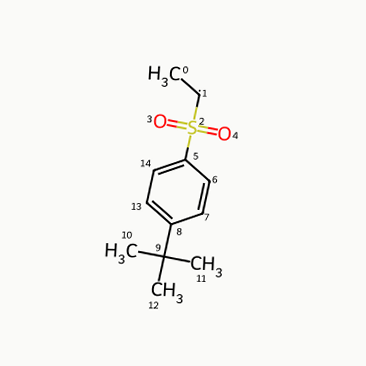 C[CH]S(=O)(=O)c1ccc(C(C)(C)C)cc1